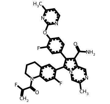 C=C(F)C(=O)N1CCCc2cc(-c3c(-c4ccc(Oc5nccc(C)n5)c(F)c4)c(C(N)=O)c4cnc(C)cn34)c(F)cc21